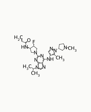 C=CC(=O)N[C@@H]1CN(c2nc(Nc3cnn([C@@H]4CCN(C)C4)c3C)c3ncn(C(C)C)c3n2)C[C@@H]1F